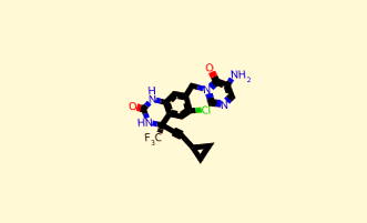 Nc1cncn(Cc2cc3c(cc2Cl)C(C#CC2CC2)(C(F)(F)F)NC(=O)N3)c1=O